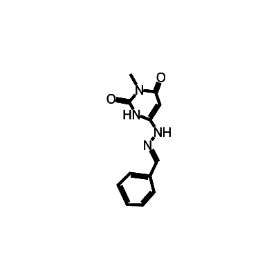 Cn1c(=O)cc(NN=Cc2ccccc2)[nH]c1=O